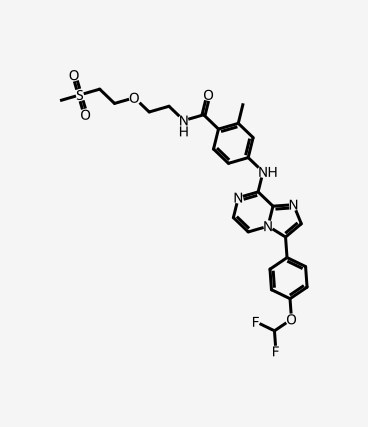 Cc1cc(Nc2nccn3c(-c4ccc(OC(F)F)cc4)cnc23)ccc1C(=O)NCCOCCS(C)(=O)=O